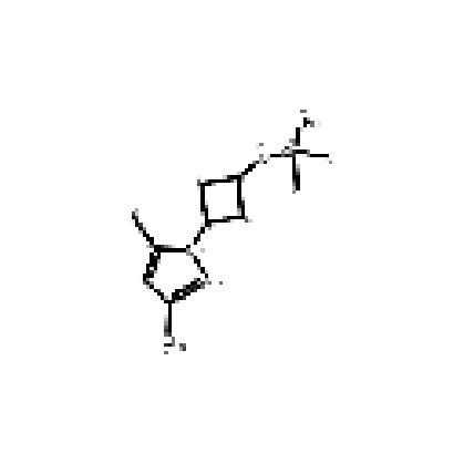 Cc1cc(C(F)(F)F)nn1C1CC(O[Si](C)(C)C(C)(C)C)C1